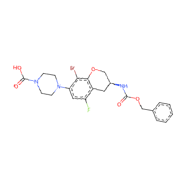 O=C(N[C@@H]1COc2c(Br)c(N3CCN(C(=O)O)CC3)cc(F)c2C1)OCc1ccccc1